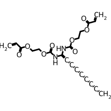 C=C=C=C=C=C=C=C=C(NC(=O)OCCOC(=O)C=C)NC(=O)OCCOC(=O)C=C